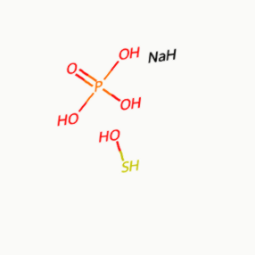 O=P(O)(O)O.OS.[NaH]